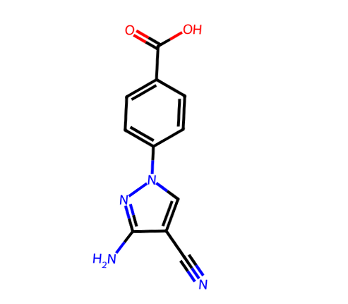 N#Cc1cn(-c2ccc(C(=O)O)cc2)nc1N